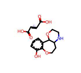 O=C(O)/C=C/C(=O)O.Oc1cccc2c1OCCC1NCCOC21